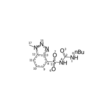 CCCCNC(=O)NS(=O)(=O)c1cccc2c1nnn2C